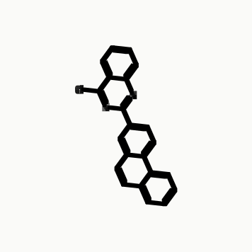 Clc1nc(-c2ccc3c(ccc4ccccc43)c2)nc2ccccc12